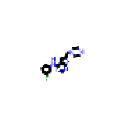 Clc1cccc(Nc2ncnc3[nH]c(CN4CCNCC4)cc23)c1